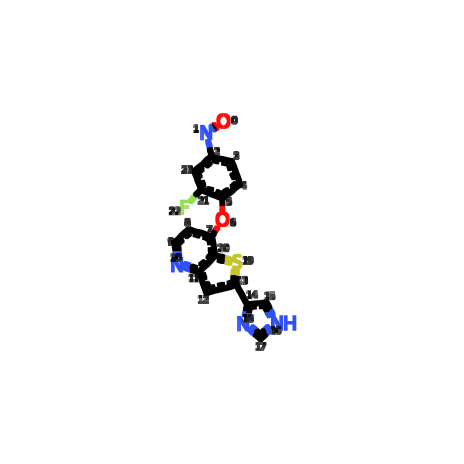 O=Nc1ccc(Oc2ccnc3cc(-c4c[nH]cn4)sc23)c(F)c1